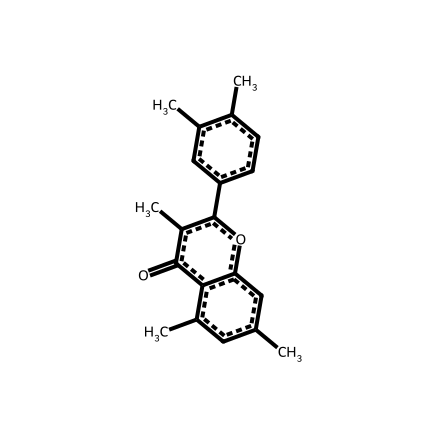 Cc1cc(C)c2c(=O)c(C)c(-c3ccc(C)c(C)c3)oc2c1